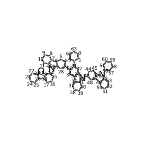 c1ccc(-c2cc3c4ccccc4n(-c4cccc5c4oc4ccccc45)c3cc2-c2ccc3c(c2)c2ccccc2n3-c2ccc3c(c2)c2ccccc2n3-c2ccccc2)cc1